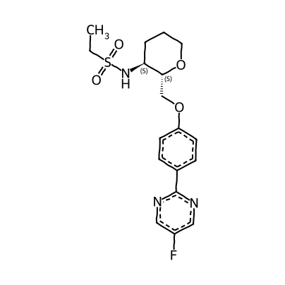 CCS(=O)(=O)N[C@H]1CCCO[C@@H]1COc1ccc(-c2ncc(F)cn2)cc1